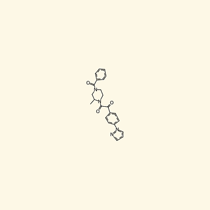 CC1CN(C(=O)c2ccccc2)CCN1C(=O)C(=O)c1ccc(-n2cccn2)cc1